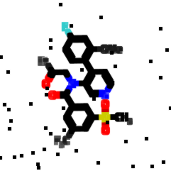 CCC(=O)CN(C(=O)c1cc(C(F)(F)F)cc(S(C)(=O)=O)c1)c1cnccc1-c1ccc(F)cc1OC